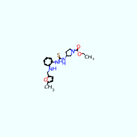 CCOC(=O)N1CCC(NC(=S)Nc2ccccc2NCc2ccc(C)o2)C1